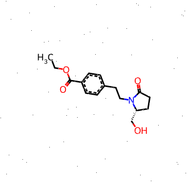 CCOC(=O)c1ccc(CCN2C(=O)CC[C@@H]2CO)cc1